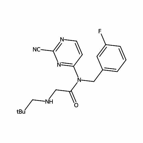 CC(C)(C)CNCC(=O)N(Cc1cccc(F)c1)c1ccnc(C#N)n1